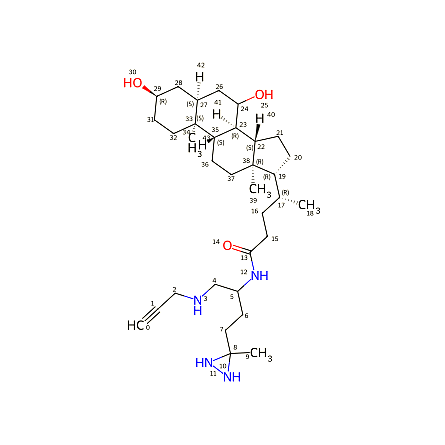 C#CCNCC(CCC1(C)NN1)NC(=O)CC[C@@H](C)[C@H]1CC[C@H]2[C@@H]3C(O)C[C@@H]4C[C@H](O)CC[C@]4(C)[C@H]3CC[C@]12C